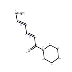 CCCCCCC/C=C/C=C/C(=O)N1CCCCC1